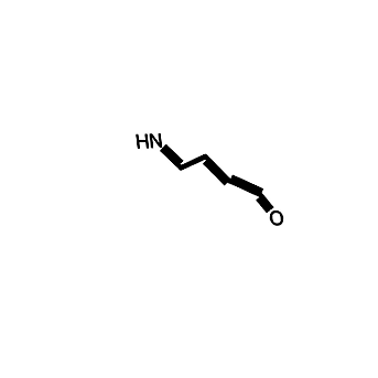 N=CC=C=C=O